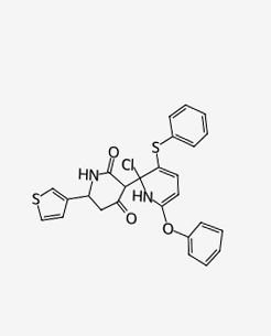 O=C1CC(c2ccsc2)NC(=O)C1C1(Cl)NC(Oc2ccccc2)=CC=C1Sc1ccccc1